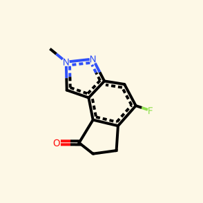 Cn1cc2c3c(c(F)cc2n1)CCC3=O